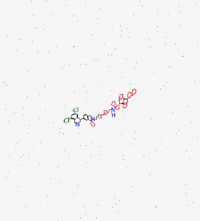 CN1Cc2c(Cl)cc(Cl)cc2C(c2ccc3c(c2)C(=O)N(CCOCCOCCNC(=O)OC2COC4C(OC=O)COC24)C3)C1